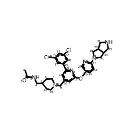 CC(=O)NCC1CCN(Cc2cc(Oc3ccc(N4CC5CNCC5C4)nc3)nc(-c3cc(Cl)cc(Cl)c3)c2)CC1